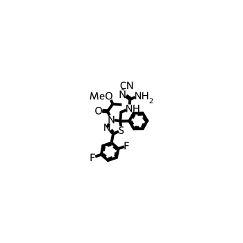 COC(C)C(=O)N1N=C(c2cc(F)ccc2F)SC1(CNC(N)=NC#N)c1ccccc1